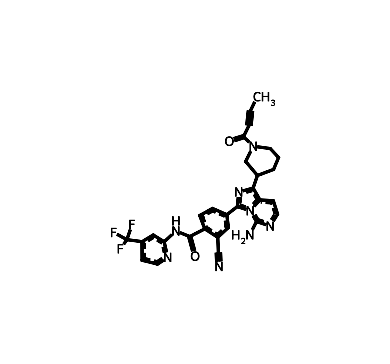 CC#CC(=O)N1CCCC(c2nc(-c3ccc(C(=O)Nc4cc(C(F)(F)F)ccn4)c(C#N)c3)n3c(N)nccc23)C1